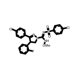 CON/C(=N\S(=O)(=O)c1ccc(Cl)cc1)N1CC(c2ccccc2F)C(c2ccc(Cl)cc2)=N1